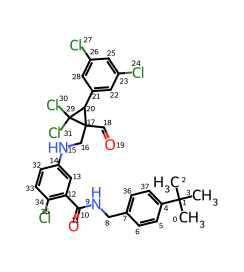 CC(C)(C)c1ccc(CNC(=O)c2cc(NCC3(C=O)C(c4cc(Cl)cc(Cl)c4)C3(Cl)Cl)ccc2Cl)cc1